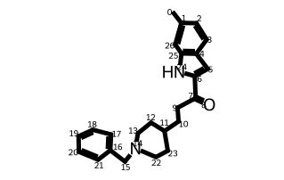 Cc1ccc2cc(C(=O)CCC3CCN(Cc4ccccc4)CC3)[nH]c2c1